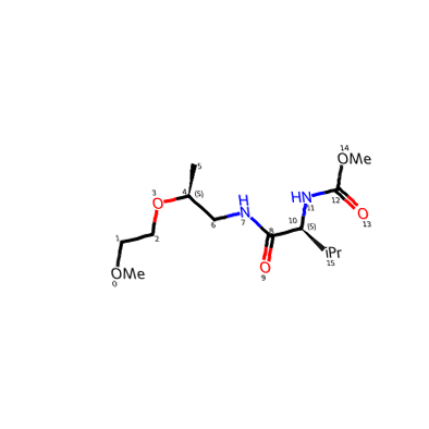 COCCO[C@@H](C)CNC(=O)[C@@H](NC(=O)OC)C(C)C